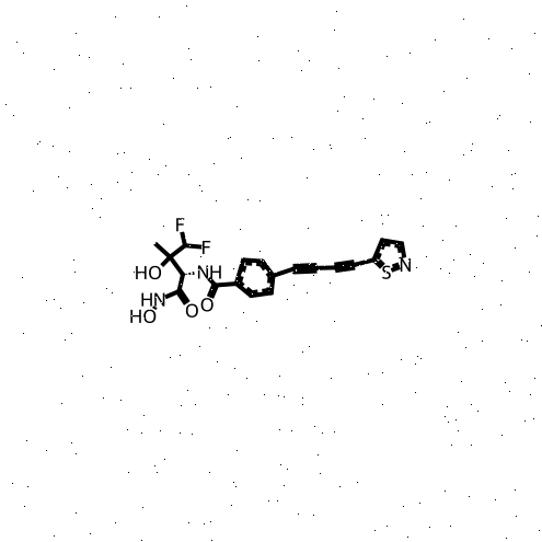 CC(O)(C(F)F)[C@H](NC(=O)c1ccc(C#CC#Cc2ccns2)cc1)C(=O)NO